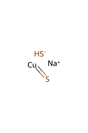 [Na+].[SH-].[S]=[Cu]